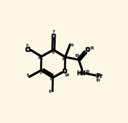 CC1=C(C)C(Cl)C(=O)C(C)(C(=O)NC(C)C)O1